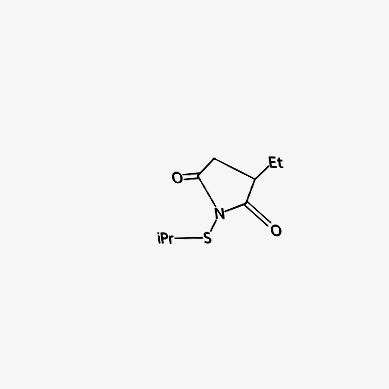 CCC1CC(=O)N(SC(C)C)C1=O